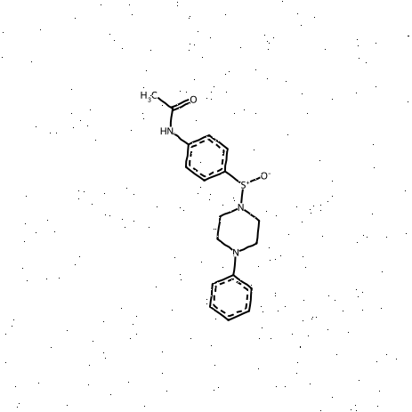 CC(=O)Nc1ccc([S+]([O-])N2CCN(c3ccccc3)CC2)cc1